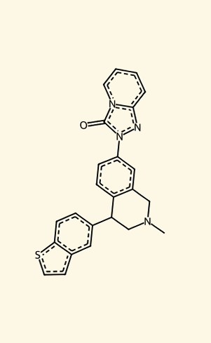 CN1Cc2cc(-n3nc4ccccn4c3=O)ccc2C(c2ccc3sccc3c2)C1